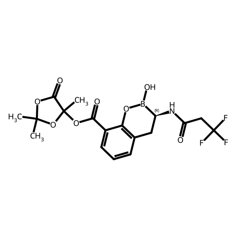 CC1(C)OC(=O)C(C)(OC(=O)c2cccc3c2OB(O)[C@@H](NC(=O)CC(F)(F)F)C3)O1